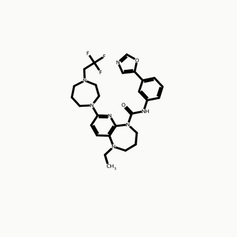 CCN1CCCN(C(=O)Nc2cccc(-c3cnco3)c2)c2nc(N3CCCN(CC(F)(F)F)CC3)ccc21